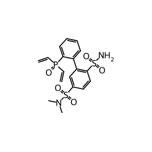 C=CP(=O)(C=C)c1ccccc1-c1cc(S(=O)(=O)N(C)C)ccc1S(N)(=O)=O